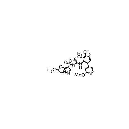 COc1cc(-c2ccc(C(F)(F)F)c(C)c2NC(=O)N=[S@](N)(=O)c2cnn3c2O[C@H](C)C3)ccn1